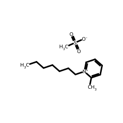 CCCCCCC[n+]1ccccc1C.CS(=O)(=O)[O-]